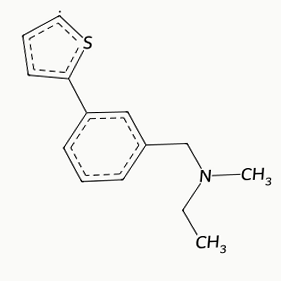 CCN(C)Cc1cccc(-c2cc[c]s2)c1